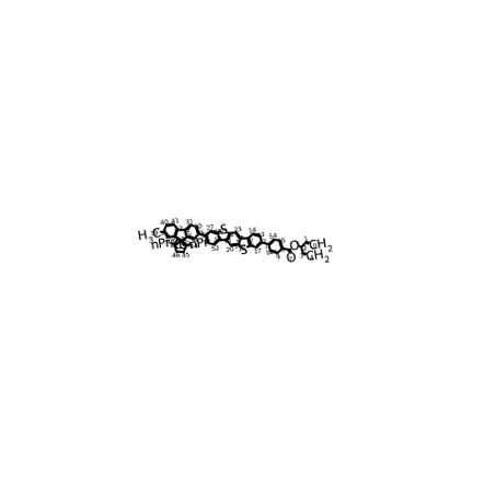 C=CC(C=C)OC(=O)c1ccc(-c2ccc3c(c2)sc2cc4c(cc23)sc2cc(-c3ccc5c(c3)C3(c6cc(C)ccc6-5)C5(CCC)CCC3(CCC)CC5)ccc24)cc1